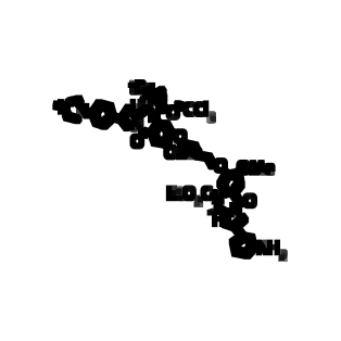 CCOC(=O)N1c2cc(OCCCCCOc3cc4c(cc3OC)C(=O)N3C=C(c5ccc(N6CCN(C)CC6)cc5)C[C@H]3[C@H](O[Si](C)(C)C(C)(C)C)N4C(=O)OCC(Cl)(Cl)Cl)c(OC)cc2C(=O)N2C=C(c3cccc(N)c3)C[C@H]2[C@@H]1C